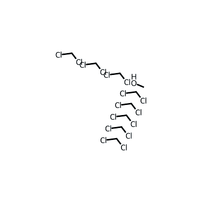 CO.ClCCl.ClCCl.ClCCl.ClCCl.ClCCl.ClCCl.ClCCl.ClCCl